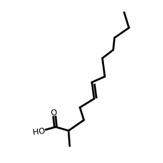 CCCCCCC=CCCC(C)C(=O)O